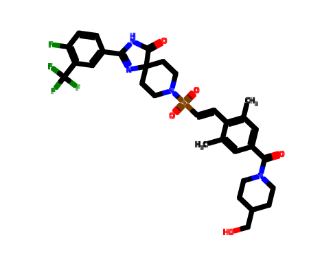 Cc1cc(C(=O)N2CCC(CO)CC2)cc(C)c1/C=C/S(=O)(=O)N1CCC2(CC1)N=C(c1ccc(F)c(C(F)(F)F)c1)NC2=O